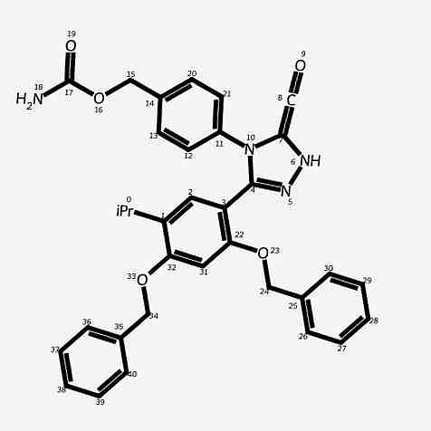 CC(C)c1cc(C2=NNC(=C=O)N2c2ccc(COC(N)=O)cc2)c(OCc2ccccc2)cc1OCc1ccccc1